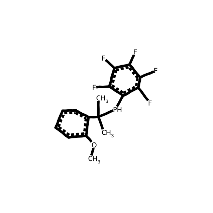 COc1ccccc1C(C)(C)Pc1c(F)c(F)c(F)c(F)c1F